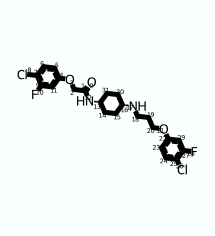 O=C(COc1ccc(Cl)c(F)c1)N[C@H]1CC[C@@H](NCCCOc2ccc(Cl)c(F)c2)CC1